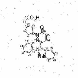 O=C(O)C[C@H]1CC[C@H](n2nc(-c3c(-c4ccccc4)nn4ccccc34)ccc2=O)C1